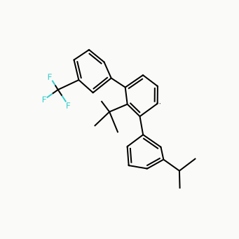 CC(C)c1cccc(-c2[c]ccc(-c3cccc(C(F)(F)F)c3)c2C(C)(C)C)c1